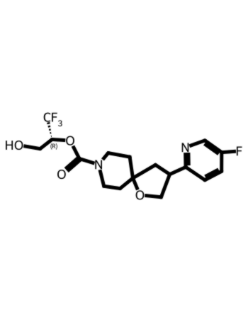 O=C(O[C@H](CO)C(F)(F)F)N1CCC2(CC1)CC(c1ccc(F)cn1)CO2